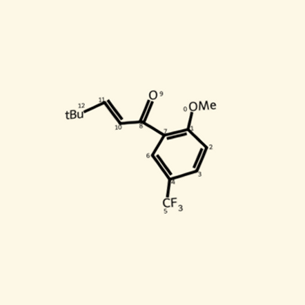 COc1ccc(C(F)(F)F)cc1C(=O)C=CC(C)(C)C